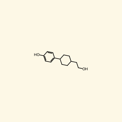 OCCC1CCC(c2ccc(O)cc2)CC1